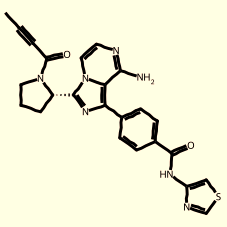 CC#CC(=O)N1CCC[C@H]1c1nc(-c2ccc(C(=O)Nc3cscn3)cc2)c2c(N)nccn12